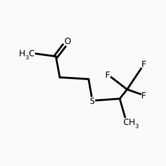 CC(=O)CCSC(C)C(F)(F)F